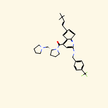 CC(C)(C)/C=C/c1ccc2nc(NCc3ccc(C(F)(F)F)cc3)cc(C(=O)N3CCC[C@H]3CN3CCCC3)c2c1